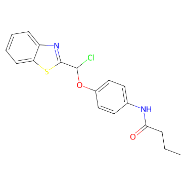 CCCC(=O)Nc1ccc(OC(Cl)c2nc3ccccc3s2)cc1